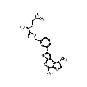 CNc1nc2[nH]c(-c3cccc(COC(=O)N(C)CCN(C)C)n3)cc2c2c1ncn2C